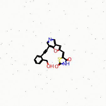 O=C1NC(=O)C(=Cc2cc3cncc(C#Cc4ccccc4CO)c3o2)S1